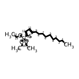 CCCCCCCCCCc1ccc([Si](OCC)(OCC)OCC)s1